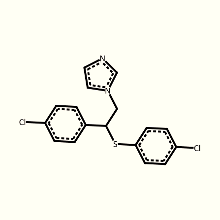 Clc1ccc(SC(Cn2ccnc2)c2ccc(Cl)cc2)cc1